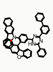 c1ccc(C2=NC(c3cccc(-c4ccccc4)c3)=NC(c3ccc(-n4c5ccccc5c5cc6ccccc6cc54)c(-c4c5ccccc5cc5oc6ccccc6c45)c3)N2)cc1